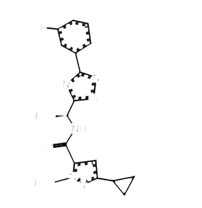 C[C@H](NC(=O)c1cc(C2CC2)nn1C)c1nc(-c2cccc(F)c2)no1